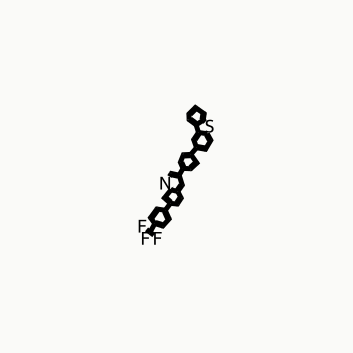 FC(F)(F)c1ccc(-c2ccc3cc(-c4ccc(-c5ccc6sc7ccccc7c6c5)cc4)cnc3c2)cc1